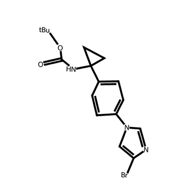 CC(C)(C)OC(=O)NC1(c2ccc(-n3cnc(Br)c3)cc2)CC1